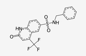 O=c1cc(C(F)(F)F)c2cc(S(=O)(=O)NCc3ccccc3)ccc2[nH]1